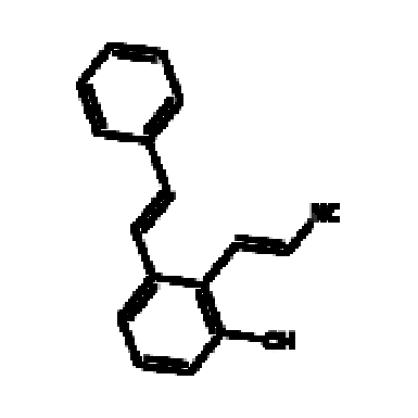 [C-]#[N+]/C=C/c1c(O)cccc1/C=C/c1ccccc1